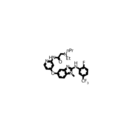 CCCN(CC)CC(=O)Nc1cc(Oc2ccc3c(c2)nc(Nc2cc(C(F)(F)F)ccc2F)n3C)ccn1